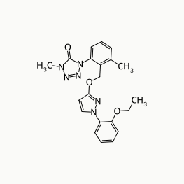 CCOc1ccccc1-n1ccc(OCc2c(C)cccc2-n2nnn(C)c2=O)n1